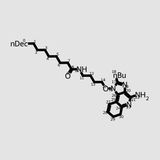 CCCCCCCCCCCCCCCCCC(=O)NCCCCOn1c(CCCC)nc2c(N)nc3c(c21)C=CCC3